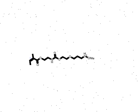 C/C=C(/C)C(=O)OCCNC(=O)OCCOCCC[SiH2]OC